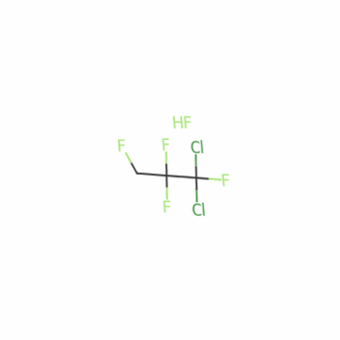 F.FCC(F)(F)C(F)(Cl)Cl